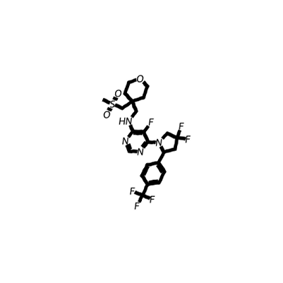 CS(=O)(=O)CC1(CNc2ncnc(N3CC(F)(F)CC3c3ccc(C(F)(F)F)cc3)c2F)CCOCC1